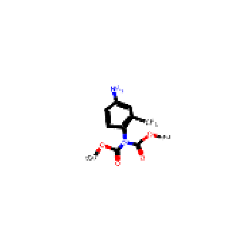 CC(C)(C)OC(=O)N(C(=O)OC(C)(C)C)c1ccc(N)cc1C(F)(F)F